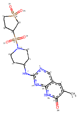 Cc1cc2cnc(NC3CCN(S(=O)(=O)C4CCS(=O)(=O)C4)CC3)nc2[nH]c1=O